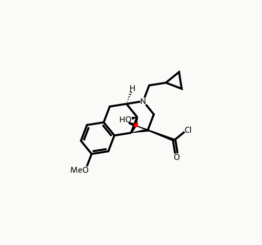 COc1ccc2c(c1)[C@]13CCN(CC4CC4)[C@H](C2)[C@]1(O)C[C@H](C(=O)Cl)C3